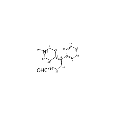 CN1CCC2=C(c3ccccc3)CCC(C=O)C2C1